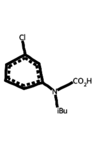 CCC(C)N(C(=O)O)c1cccc(Cl)c1